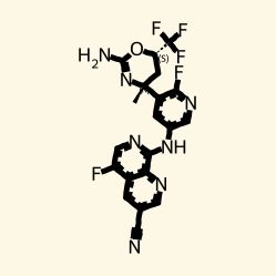 C[C@]1(c2cc(Nc3ncc(F)c4cc(C#N)cnc34)cnc2F)C[C@@H](C(F)(F)F)OC(N)=N1